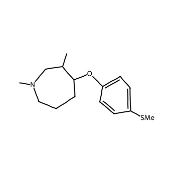 CSc1ccc(OC2CCCN(C)CC2C)cc1